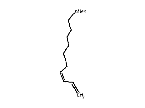 C=C/C=C\CCCCCCCCCCCC